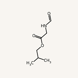 CC(C)COC(=O)CNC=O